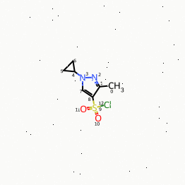 Cc1nn(C2CC2)cc1S(=O)(=O)Cl